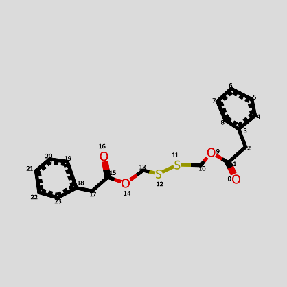 O=C(Cc1ccccc1)OCSSCOC(=O)Cc1ccccc1